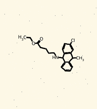 CCOC(=O)CCCCNC1c2ccccc2C(C)c2cc(Cl)ccc21